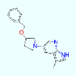 Cc1c[nH]c2ncc(N3CCC(OCc4ccccc4)C3)cc12